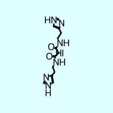 I.O=C(CC(=O)NCCc1c[nH]cn1)NCCc1c[nH]cn1